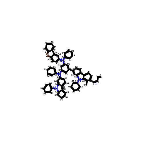 C=C/C=C\c1ccc2c3ccc(-c4cc(N(c5ccccc5)c5ccc6sc7ccccc7c6c5)cc(N(c5ccccc5)c5ccc6c7ccccc7n(-c7ccccc7)c6c5)c4)cc3n(-c3ccccc3)c2c1C